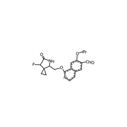 CC(C)Oc1cc2c(OCC3NC(=O)C(F)C34CC4)nccc2cc1C=O